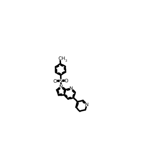 Cc1ccc(S(=O)(=O)n2ccc3cc(C4=CCCN=C4)cnc32)cc1